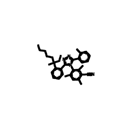 CCCCCC(C)(CC)c1ccccc1-c1nnc(-c2ccccc2C)n1-c1c(C)cc(C)c(C#N)c1C